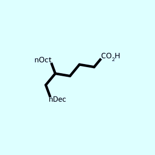 CCCCCCCCCCCC(CCCCCCCC)CCCC(=O)O